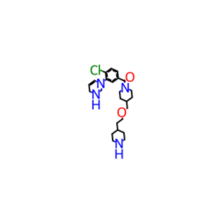 O=C(c1ccc(Cl)c(N2C=CCNC2)c1)N1CCC(COCCC2CCNCC2)CC1